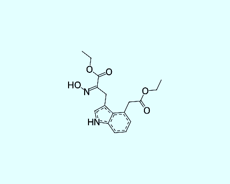 CCOC(=O)Cc1cccc2[nH]cc(CC(=NO)C(=O)OCC)c12